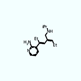 CC/C=C(\C=C(/CC)c1cccnc1N)CNC(C)C